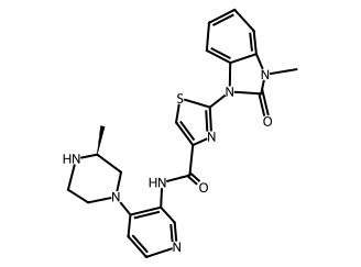 C[C@H]1CN(c2ccncc2NC(=O)c2csc(-n3c(=O)n(C)c4ccccc43)n2)CCN1